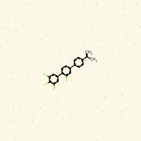 C=C(C)c1ccc(-c2ccc(-c3cc(F)c(F)c(F)c3)c(F)c2)cc1